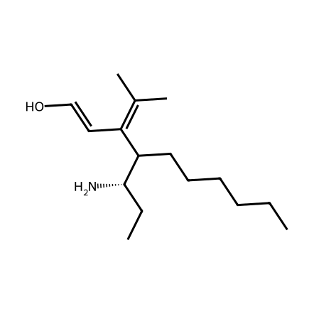 CCCCCCC(C(/C=C/O)=C(C)C)[C@@H](N)CC